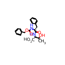 C[C@@H](O)[C@H](NC(=O)[C@H](Cc1ccccc1)NC(=O)OCc1ccccc1)C(=O)O